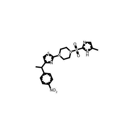 Cc1cnc(S(=O)(=O)N2CCN(c3nc(C(C)c4ccc([N+](=O)[O-])cc4)cs3)CC2)[nH]1